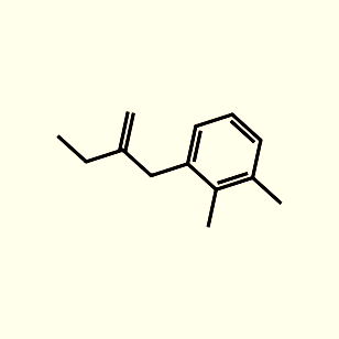 C=C(CC)Cc1cccc(C)c1C